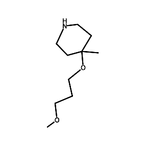 COCCCOC1(C)CCNCC1